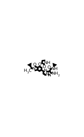 C[C@@H](C1CC1)N1Cc2cc(-c3ccn4nc(N)c(C(=O)NC5CC5)c4n3)cc(O[C@@H]3CCNC3=O)c2C1=O